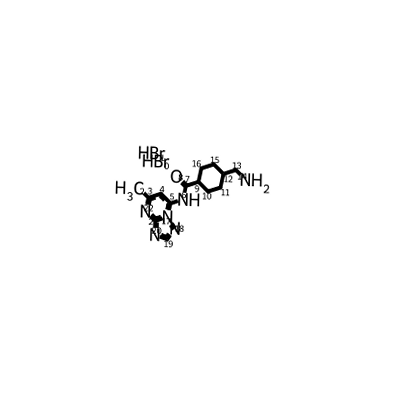 Br.Br.Cc1cc(NC(=O)C2CCC(CN)CC2)n2ncnc2n1